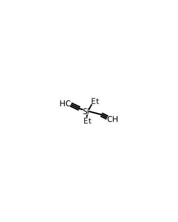 C#C[Si](C#C)(CC)CC